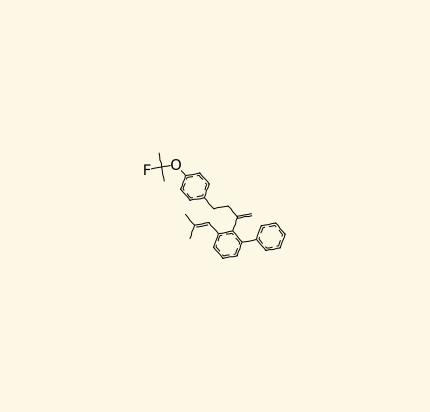 C=C(CCc1ccc(OC(C)(C)F)cc1)c1c(C=C(C)C)cccc1-c1ccccc1